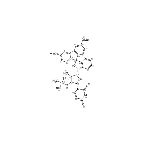 COc1ccc(C(OC[C@@H]2O[C@H](n3ccc(=O)[nH]c3=O)C(O[Si](C)(C)C(C)(C)C)C2O)(c2ccccc2)c2ccc(OC)cc2)cc1